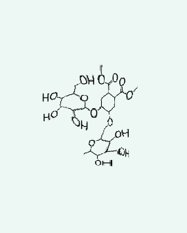 COC(=O)C1CC(OCC2OC(C)C(O)C(O)C2O)C(OC2OC(CO)C(O)C(O)C2O)CC1C(=O)OC